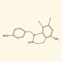 COc1ccc(CN2C(=O)CCc3c(N)cc(F)c(F)c32)cc1